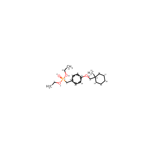 CCOP(=O)(Cc1ccc(OCC2(C)CCCCC2)cc1)OCC